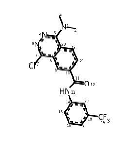 CN(C)c1nnc(Cl)c2cc(C(=O)Nc3cccc(C(F)(F)F)c3)ccc12